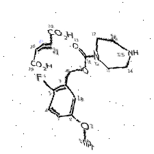 CCCOc1ccc(F)c(COC(=O)N2CCNCC2)c1.O=C(O)/C=C/C(=O)O